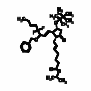 CC/C=C/C(F)(F)C(/C=C/[C@H]1[C@H](O[Si](C)(C)C(C)(C)C)CC(=O)[C@@H]1C/C=C/CCCC(=O)OC(C)C)OCc1ccccc1